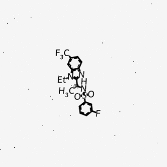 CCn1c([C@@H](C)NS(=O)(=O)c2cccc(F)c2)nc2ccc(C(F)(F)F)cc21